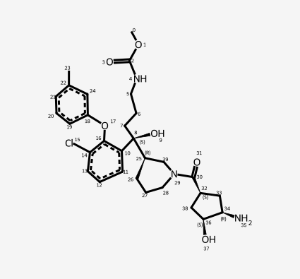 COC(=O)NCCC[C@@](O)(c1cccc(Cl)c1Oc1cccc(C)c1)[C@@H]1CCCN(C(=O)[C@H]2C[C@@H](N)[C@@H](O)C2)C1